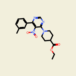 CCOC(=O)C1CCN(c2ncnc(-c3cccc(C)c3)c2[N+](=O)[O-])CC1